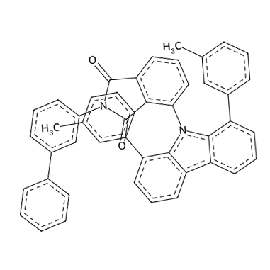 Cc1cccc(-c2cccc3c4cccc(-c5cccc(C)c5)c4n(-c4cccc5c4C(=O)N(c4cccc(-c6ccccc6)c4)C5=O)c23)c1